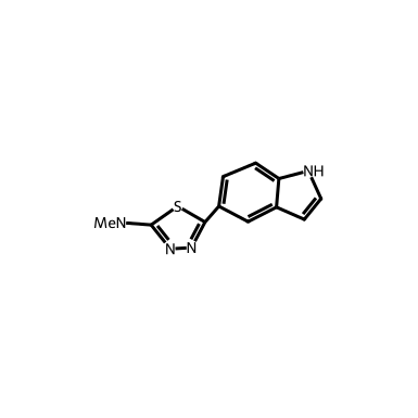 CNc1nnc(-c2ccc3[nH]ccc3c2)s1